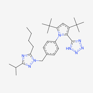 CCCCc1nc(C(C)C)nn1Cc1ccc(-n2c(C(C)(C)C)cc(C(C)(C)C)c2-c2nnn[nH]2)cc1